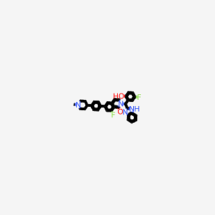 CN1CCC(c2ccc(-c3cc(F)c4c(=O)n(C(c5nc6ccccc6[nH]5)c5cc(F)ccc5O)ccc4c3)cc2)CC1